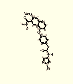 CCn1cc(NC(=O)Cc2ccc(Oc3ccnc4cc(OC)c(C(=O)N(C)C)cc34)cc2)cn1